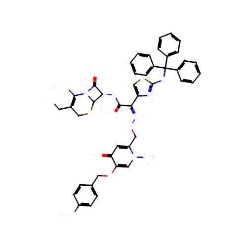 COc1ccc(COc2cn(OC)c(CO/N=C(\C(=O)N[C@@H]3C(=O)N4C(C(=O)O)=C(COC(C)=O)CS[C@H]34)c3csc(NC(c4ccccc4)(c4ccccc4)c4ccccc4)n3)cc2=O)cc1